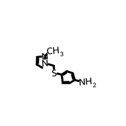 CN1C=CCN1CSc1ccc(N)cc1